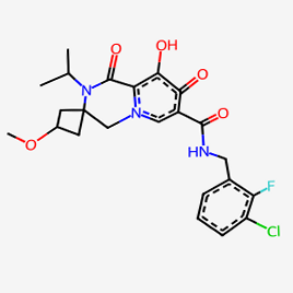 COC1CC2(C1)Cn1cc(C(=O)NCc3cccc(Cl)c3F)c(=O)c(O)c1C(=O)N2C(C)C